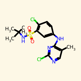 Cc1cnc(Cl)nc1Nc1ccc(Cl)c(S(=O)(=O)NC(C)(C)C)c1